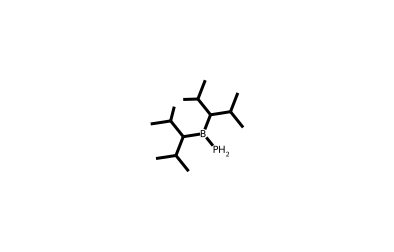 CC(C)C(B(P)C(C(C)C)C(C)C)C(C)C